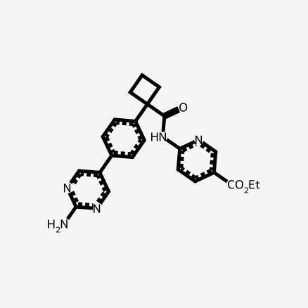 CCOC(=O)c1ccc(NC(=O)C2(c3ccc(-c4cnc(N)nc4)cc3)CCC2)nc1